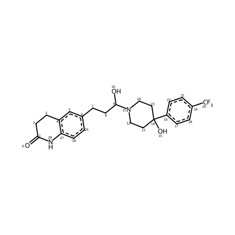 O=C1CCc2cc(CCC(O)N3CCC(O)(c4ccc(C(F)(F)F)cc4)CC3)ccc2N1